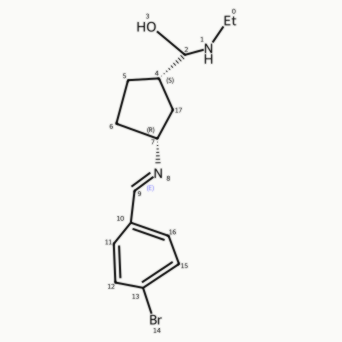 CCNC(O)[C@H]1CC[C@@H](/N=C/c2ccc(Br)cc2)C1